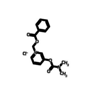 CN(C)C(=O)Oc1ccc[n+](COC(=O)c2ccccc2)c1.[Cl-]